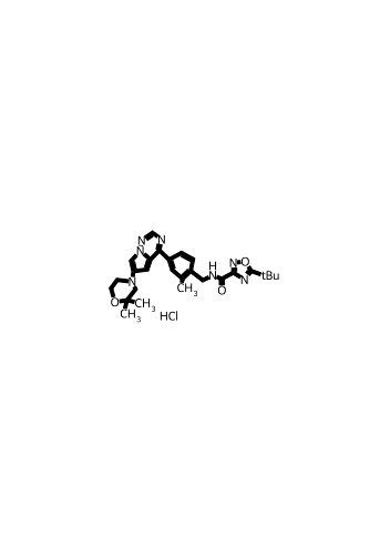 Cc1cc(-c2ncnn3cc(N4CCOC(C)(C)C4)cc23)ccc1CNC(=O)c1noc(C(C)(C)C)n1.Cl